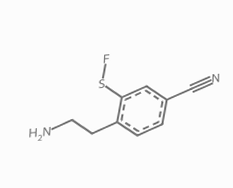 N#Cc1ccc(CCN)c(SF)c1